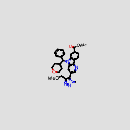 COCc1nnn(C)c1-c1cnc2c3ccc(C(=O)OC)cc3n(C(c3ccccc3)C3CCOCC3)c2c1